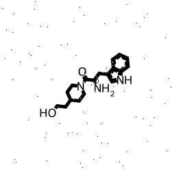 N[C@H](Cc1c[nH]c2ccccc12)C(=O)N1CCC(CCO)CC1